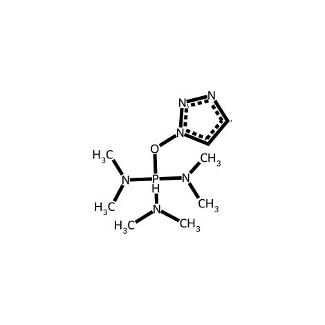 CN(C)[PH](On1c[c]nn1)(N(C)C)N(C)C